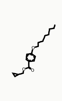 CCCCCCCCOc1ccc(C(=O)OCC2CC2)cc1